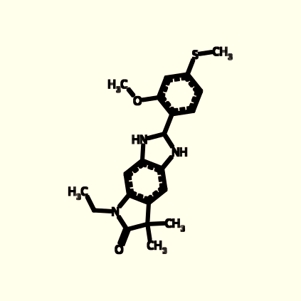 CCN1C(=O)C(C)(C)c2cc3c(cc21)NC(c1ccc(SC)cc1OC)N3